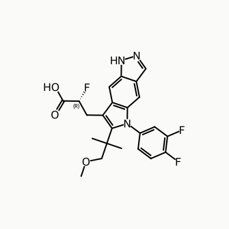 COCC(C)(C)c1c(C[C@@H](F)C(=O)O)c2cc3[nH]ncc3cc2n1-c1ccc(F)c(F)c1